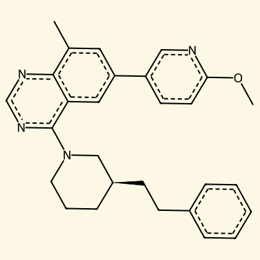 COc1ccc(-c2cc(C)c3ncnc(N4CCC[C@H](CCc5ccccc5)C4)c3c2)cn1